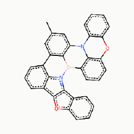 Cc1cc2c3c(c1)N1c4ccccc4Oc4cccc(c41)B3n1c3c-2cccc3c2oc3ccccc3c21